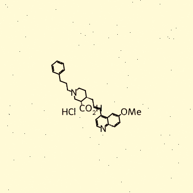 COc1ccc2nccc(C=CC[C@@H]3CCN(CCCc4ccccc4)C[C@@H]3C(=O)O)c2c1.Cl